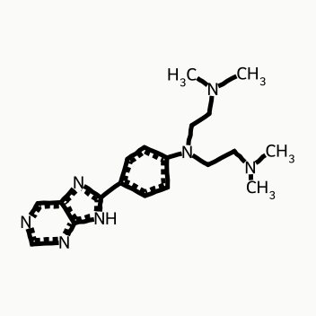 CN(C)CCN(CCN(C)C)c1ccc(-c2nc3cncnc3[nH]2)cc1